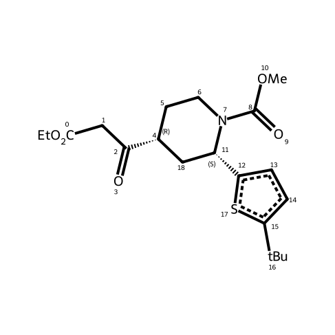 CCOC(=O)CC(=O)[C@@H]1CCN(C(=O)OC)[C@H](c2ccc(C(C)(C)C)s2)C1